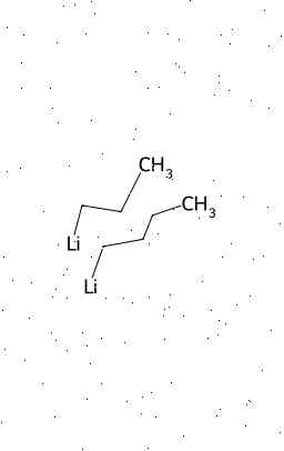 [Li][CH2]CC.[Li][CH2]CCC